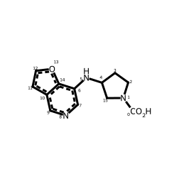 O=C(O)N1CCC(Nc2cncc3ccoc23)C1